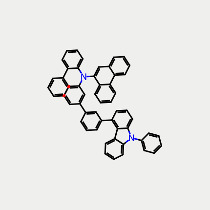 c1ccc(-c2ccccc2N(c2cccc(-c3cccc(-c4cccc5c4c4ccccc4n5-c4ccccc4)c3)c2)c2cc3ccccc3c3ccccc23)cc1